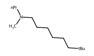 CCCN(C)CCCCCCC(C)(C)C